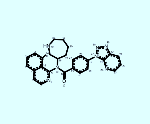 Cc1cccc2ccnc(N(C(=O)c3ccc(-n4nnc5cccnc54)cc3)C3CCCCNC3)c12